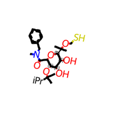 CC(C)C(C)(C)O[C@@H]1C(C(=O)N(C)Cc2ccccc2)O[C@@H](C(C)(C)OCS)[C@@H](O)[C@H]1O